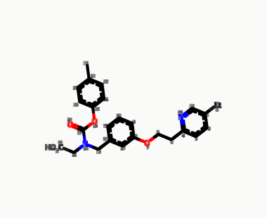 CCc1ccc(CCOc2cccc(CN(CC(=O)O)C(=O)Oc3ccc(C)cc3)c2)nc1